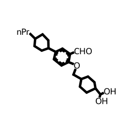 CCCC1CCC(c2ccc(OCC3CCC(C(O)O)CC3)c(C=O)c2)CC1